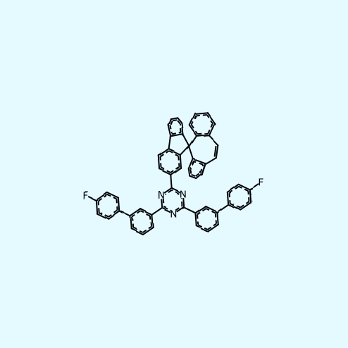 Fc1ccc(-c2cccc(-c3nc(-c4cccc(-c5ccc(F)cc5)c4)nc(-c4ccc5c(c4)C4(c6ccccc6C=Cc6ccccc64)c4ccccc4-5)n3)c2)cc1